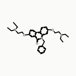 CCN(CC)CCOc1ccc2c(c1)c(=O)n(Cc1ccccc1)c1cc(OCCN(CC)CC)ccc21